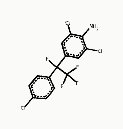 Nc1c(Cl)cc(C(F)(c2ccc(Cl)cc2)C(F)(F)F)cc1Cl